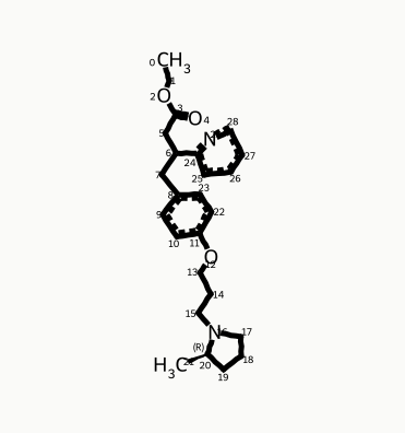 CCOC(=O)CC(Cc1ccc(OCCCN2CCC[C@H]2C)cc1)c1ccccn1